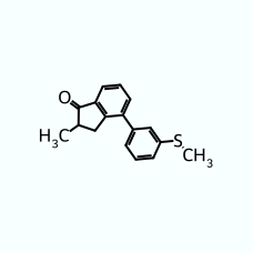 CSc1cccc(-c2cccc3c2CC(C)C3=O)c1